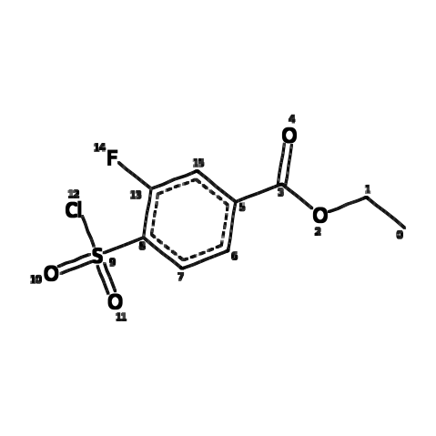 CCOC(=O)c1ccc(S(=O)(=O)Cl)c(F)c1